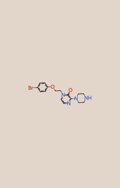 O=c1c(N2CCNCC2)nccn1CCOc1ccc(Br)cc1